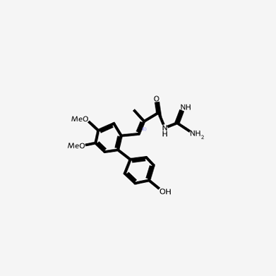 COc1cc(/C=C(\C)C(=O)NC(=N)N)c(-c2ccc(O)cc2)cc1OC